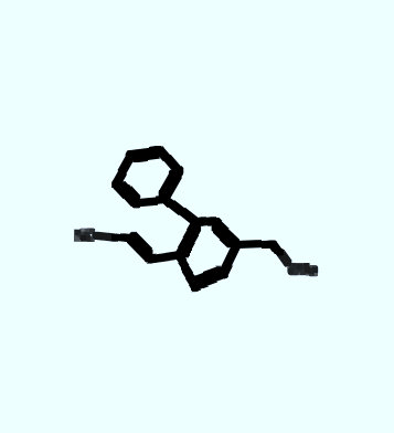 COCc1ccc(C=CC#N)c(-c2ccccc2)c1